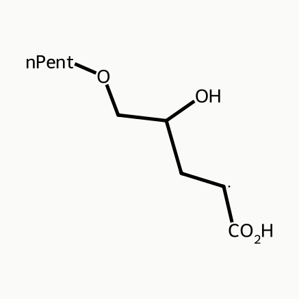 CCCCCOCC(O)C[CH]C(=O)O